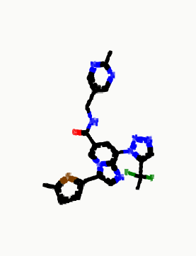 Cc1ncc(CNC(=O)c2cc(-n3nncc3C(C)(F)F)c3ncc(-c4ccc(C)s4)n3c2)cn1